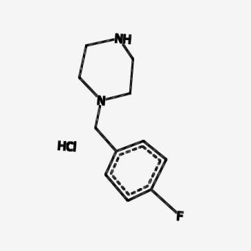 Cl.Fc1ccc(CN2CCNCC2)cc1